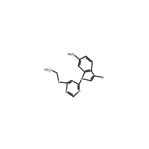 COc1ccc2c(Br)cn(-c3cc(SCC(=O)O)ncn3)c2c1